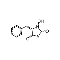 O=C1SC(=O)N(O)C1=Cc1ccccc1